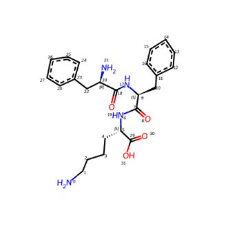 NCCCC[C@H](NC(=O)[C@H](Cc1ccccc1)NC(=O)[C@H](N)Cc1ccccc1)C(=O)O